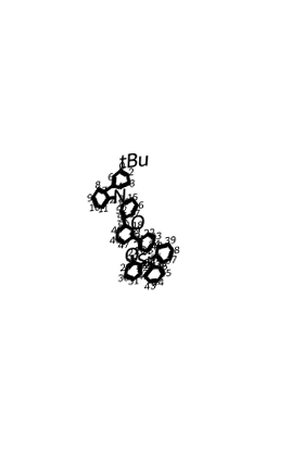 CC(C)(C)c1ccc2c(c1)c1ccccc1n2-c1ccc2oc3c(-c4cccc5c4Oc4ccccc4[Si]5(c4ccccc4)c4ccccc4)cccc3c2c1